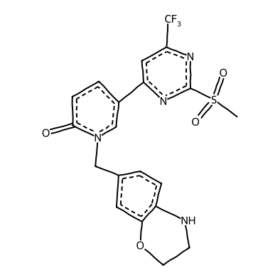 CS(=O)(=O)c1nc(-c2ccc(=O)n(Cc3ccc4c(c3)OCCN4)c2)cc(C(F)(F)F)n1